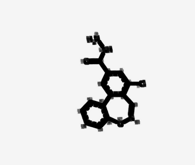 NNC(=O)c1cc(Cl)c2c(c1)-c1ccccc1ON=C2